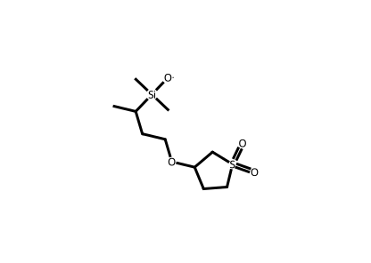 CC(CCOC1CCS(=O)(=O)C1)[Si](C)(C)[O]